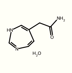 NC(=O)CC1=CNC=NC=C1.O